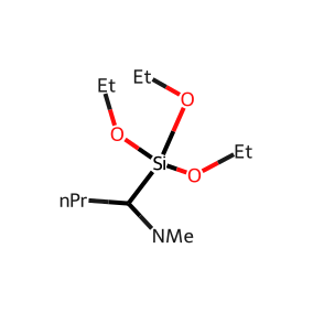 CCCC(NC)[Si](OCC)(OCC)OCC